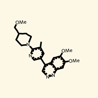 COCC1CCN(c2ncc(-c3cnnc4cc(OC)c(OC)cc34)cc2C)CC1